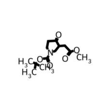 COC(=O)CC1CN(C(=O)OC(C)(C)C)CCC1=O